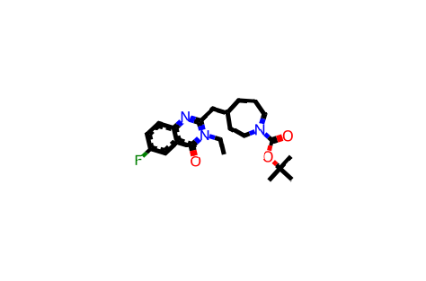 CCn1c(CC2CCCN(C(=O)OC(C)(C)C)CC2)nc2ccc(F)cc2c1=O